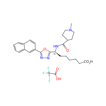 CN1CCC(C(=O)N[C@@H](CCCCCC(=O)O)c2nnc(-c3ccc4ccccc4c3)o2)CC1.O=C(O)C(F)(F)F